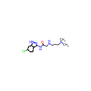 CN(C)CCCNCC(=O)Nc1n[nH]c2cc(Cl)ccc12